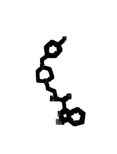 O=C(NCCN1CCN(Cc2ccc(F)cc2)CC1)c1n[nH]c2ccccc12